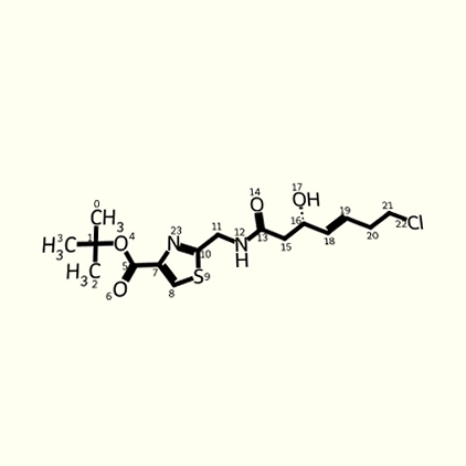 CC(C)(C)OC(=O)c1csc(CNC(=O)C[C@H](O)C=CCCCl)n1